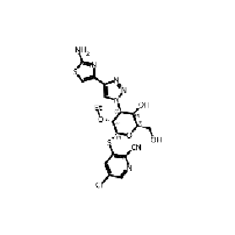 CCO[C@@H]1[C@@H](n2cc(-c3csc(N)n3)nn2)[C@@H](O)[C@@H](CO)O[C@@H]1Sc1cc(Cl)cnc1C#N